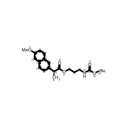 COc1ccc2cc([C@H](C)C(=O)OCCCNC(=O)OC(C)(C)C)ccc2c1